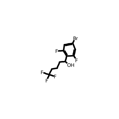 OC(CCCC(F)(F)F)c1c(F)cc(Br)cc1F